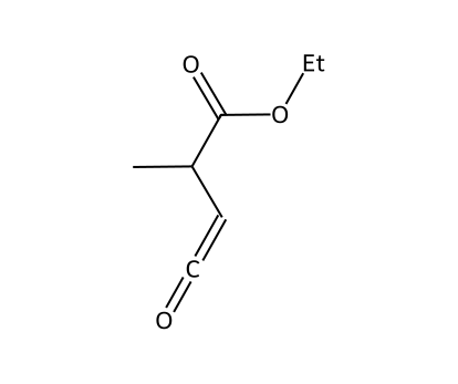 CCOC(=O)C(C)C=C=O